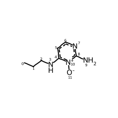 CCCNc1ccnc(N)[n+]1[O-]